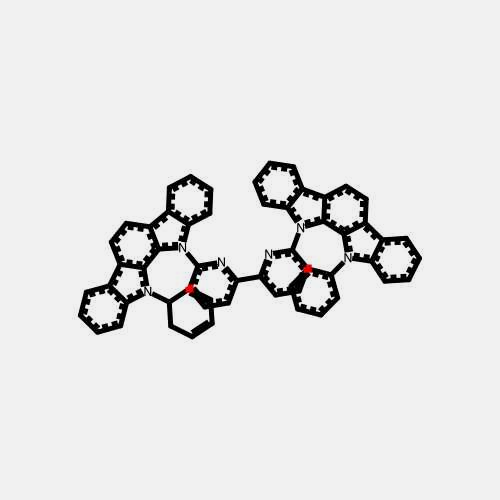 C1=CCC(n2c3ccccc3c3ccc4c5ccccc5n(-c5cccc(-c6cccc(-n7c8ccccc8c8ccc9c%10ccccc%10n(-c%10ccccc%10)c9c87)n6)n5)c4c32)C=C1